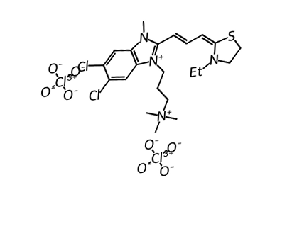 CCN1CCSC1=CC=Cc1n(C)c2cc(Cl)c(Cl)cc2[n+]1CCC[N+](C)(C)C.[O-][Cl+3]([O-])([O-])[O-].[O-][Cl+3]([O-])([O-])[O-]